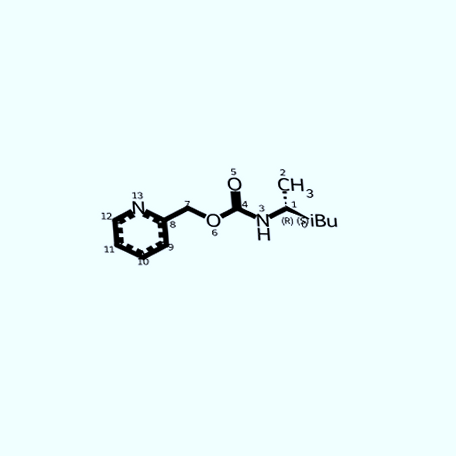 CC[C@H](C)[C@@H](C)NC(=O)OCc1ccccn1